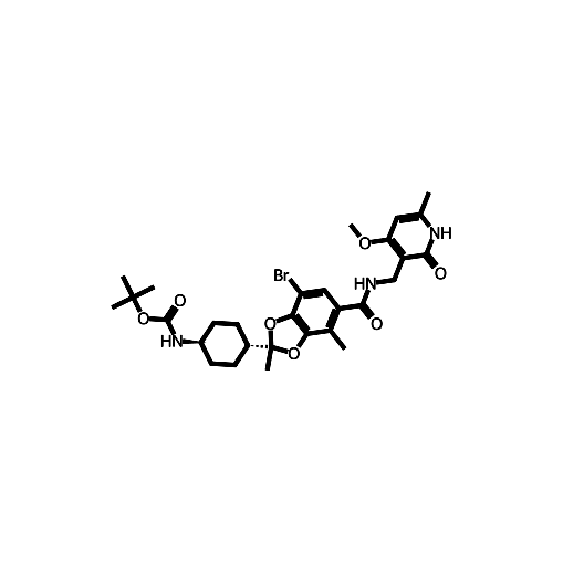 COc1cc(C)[nH]c(=O)c1CNC(=O)c1cc(Br)c2c(c1C)OC(C)([C@H]1CC[C@H](NC(=O)OC(C)(C)C)CC1)O2